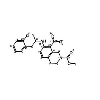 COC(=O)N1CCc2ccc(NC(C)Cc3ccccc3Cl)c([N+](=O)[O-])c2C1